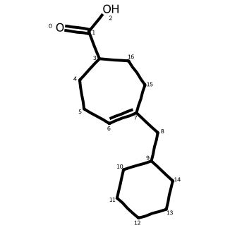 O=C(O)C1CCC=C(CC2CCCCC2)CC1